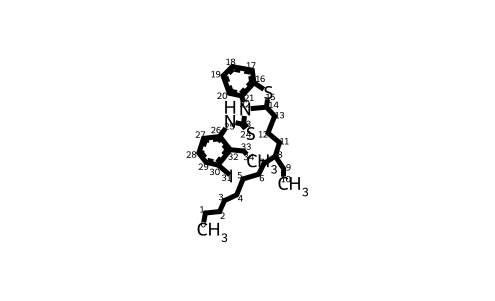 CCCCCCCCC(CC)CCCC1Sc2ccccc2N1C(=S)Nc1cccc(I)c1CC